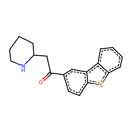 O=C(CC1CCCCN1)c1ccc2sc3ccccc3c2c1